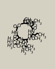 CCC1COC(=O)CNC(=O)C(C(C)OC(C)(C)C)NC(=O)C(COC(C)(C)C)NC(=O)C(C(C)CC)NC(=O)C(CC(C)C)N(C)C1=O